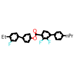 CCCc1ccc(-c2ccc(C(=O)Oc3ccc(-c4ccc(CC)c(F)c4)cc3)c(F)c2F)cc1